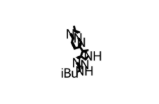 CCC(C)Nc1ncc2c(-c3ccc4nc(C)cn4n3)c[nH]c2n1